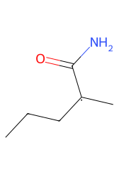 CCC[C](C)C(N)=O